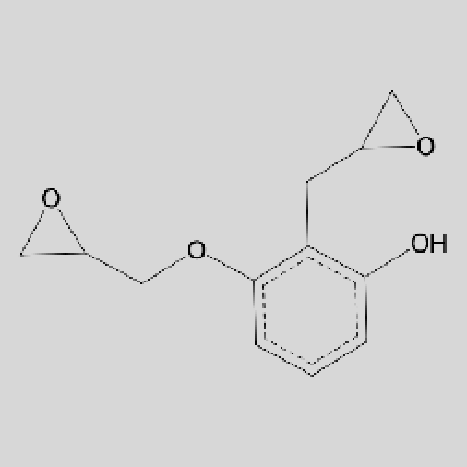 Oc1cccc(OCC2CO2)c1CC1CO1